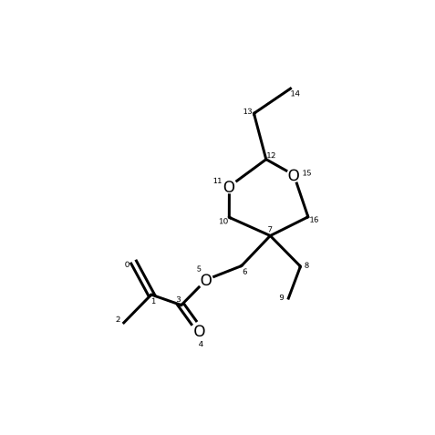 C=C(C)C(=O)OCC1(CC)COC(CC)OC1